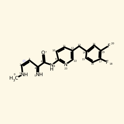 CN/C=C\C(=N)C(=O)Nc1ccc(Cc2ccc(F)c(F)c2)cn1